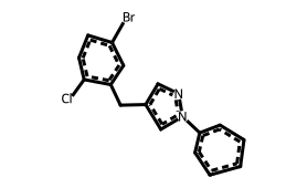 Clc1ccc(Br)cc1Cc1cnn(-c2ccccc2)c1